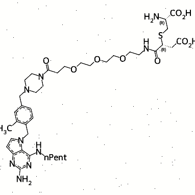 CCCCCNc1nc(N)nc2ccn(Cc3ccc(CN4CCN(C(=O)CCOCCOCCOCCNC(=O)[C@@H](CC(=O)O)SC[C@H](N)C(=O)O)CC4)cc3C)c12